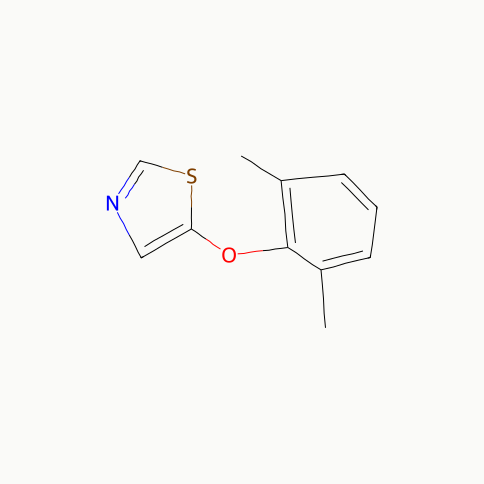 Cc1cccc(C)c1Oc1cncs1